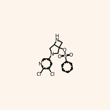 O=S(=O)(OC12CNC1CN(c1cnc(Cl)c(Cl)c1)C2)c1ccccc1